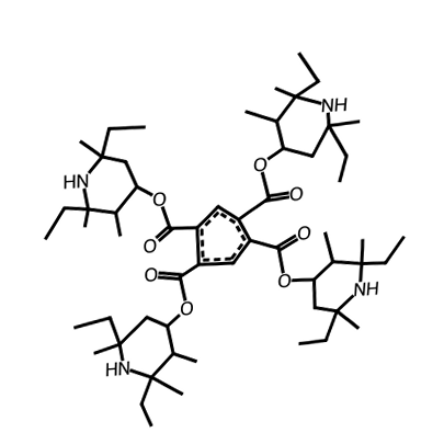 CCC1(C)CC(OC(=O)c2cc(C(=O)OC3CC(C)(CC)NC(C)(CC)C3C)c(C(=O)OC3CC(C)(CC)NC(C)(CC)C3C)cc2C(=O)OC2CC(C)(CC)NC(C)(CC)C2C)C(C)C(C)(CC)N1